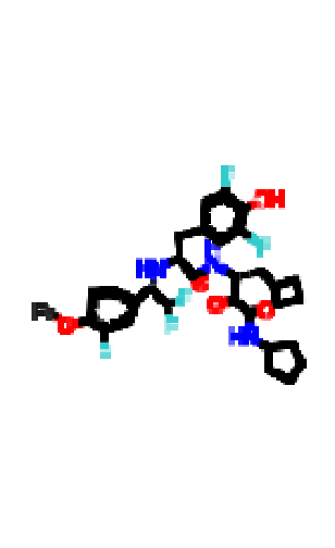 CC(C)Oc1ccc([C@H](N[C@@H](Cc2cc(F)c(O)c(F)c2)C(=O)N[C@@H](CC2CCC2)C(=O)C(=O)NC2CCCC2)C(F)F)cc1F